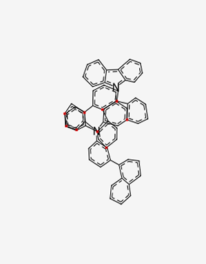 c1ccc(-c2ccccc2-c2c(-c3ccccc3)cccc2-c2ccccc2N(c2cccc(-c3cccc4ccccc34)c2)c2cccc(-n3c4ccccc4c4ccccc43)c2)cc1